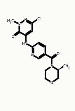 C[C@H]1COCCN1C(=O)c1ccc(Nc2cc(Cl)nn(C)c2=O)nc1